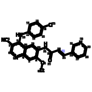 CCOc1cc2ncc(C#N)c(Nc3ccc(Cl)cc3)c2cc1NC(=O)/C=C/c1cccnc1